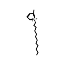 CCCCCCCCCCCC[n+]1cccc(C)c1